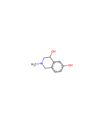 CN1Cc2ccc(O)cc2C(O)C1